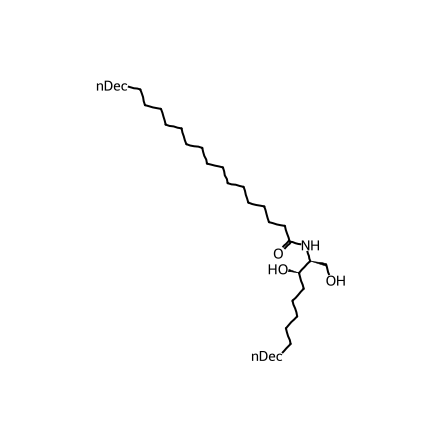 CCCCCCCCCCCCCCCCCCCCCCCCCC(=O)N[C@@H](CO)[C@H](O)CCCCCCCCCCCCCCC